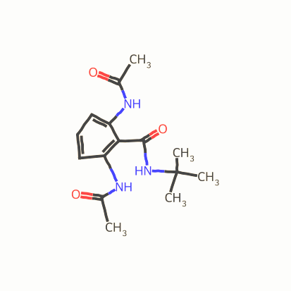 CC(=O)Nc1cccc(NC(C)=O)c1C(=O)NC(C)(C)C